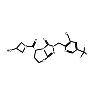 O=C([C@H]1CCCc2nn(Cc3ncc(C(F)(F)F)cc3Cl)c(=O)n21)N1CC(O)C1